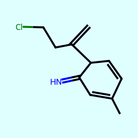 C=C(CCCl)C1C=CC(C)=CC1=N